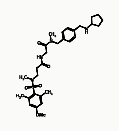 COc1cc(C)c(S(=O)(=O)N(C)CCC(=O)NCC(=O)N(C)Cc2ccc(CNC3CCCC3)cc2)c(C)c1